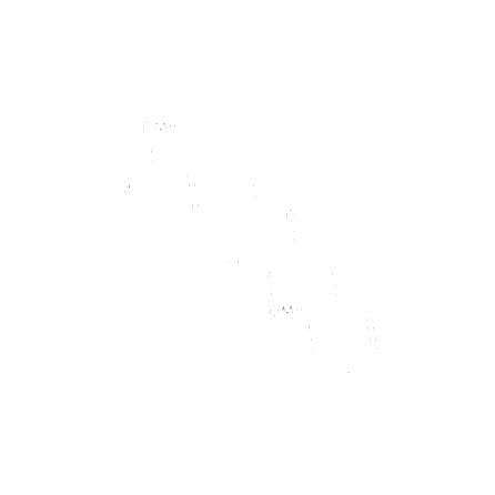 COC(=O)c1ccc(OC(Cc2ccccc2)C(=O)OC)cc1